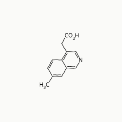 Cc1ccc2c(CC(=O)O)cncc2c1